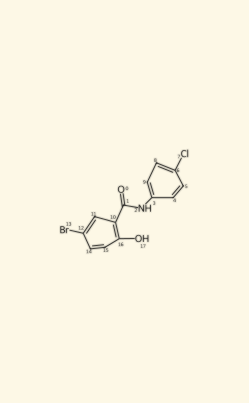 O=C(Nc1ccc(Cl)cc1)c1cc(Br)ccc1O